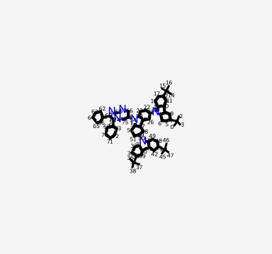 CC(C)(C)c1ccc2c(c1)c1cc(C(C)(C)C)ccc1n2-c1ccc2c(c1)c1cc(-n3c4ccc(C(C)(C)C)cc4c4cc(C(C)(C)C)ccc43)ccc1n2-c1cnc2nc(-c3ccccc3)c(-c3ccccc3)n2c1